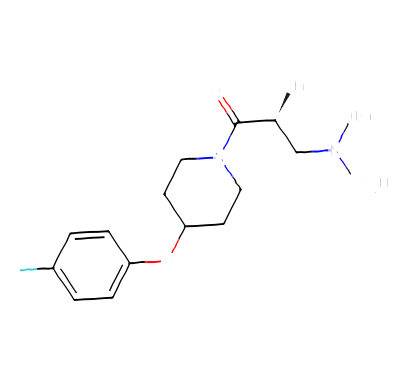 CC(C)[C@@H](CN(C(=O)O)C(C)(C)C)C(=O)N1CCC(Oc2ccc(F)cc2)CC1